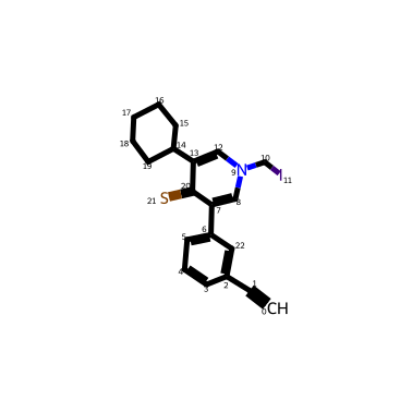 C#Cc1cccc(-c2cn(CI)cc(C3CCCCC3)c2=S)c1